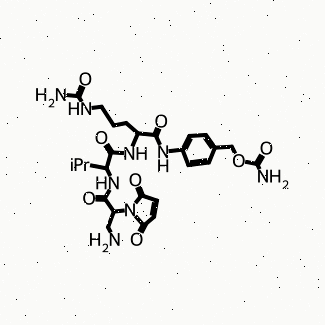 CC(C)C(NC(=O)C(CN)N1C(=O)C=CC1=O)C(=O)NC(CCCNC(N)=O)C(=O)Nc1ccc(COC(N)=O)cc1